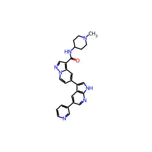 CN1CCC(NC(=O)c2cnn3ccc(-c4c[nH]c5ncc(-c6cccnc6)cc45)cc23)CC1